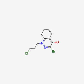 O=c1c(Br)nn(CCCCl)c2c1C=CCC2